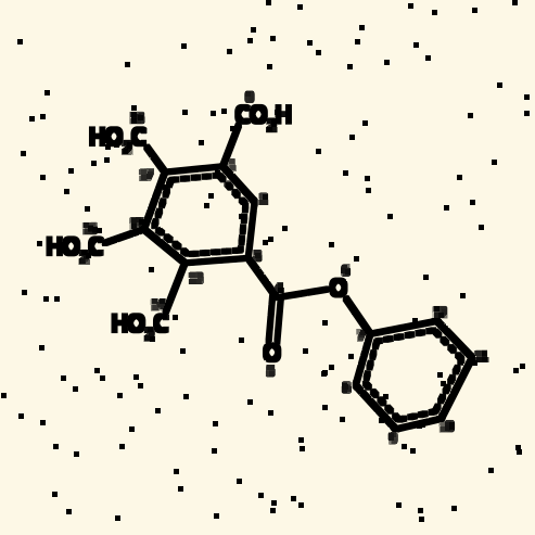 O=C(O)c1cc(C(=O)Oc2ccccc2)c(C(=O)O)c(C(=O)O)c1C(=O)O